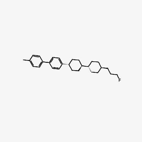 Cc1ccc(-c2ccc([C@H]3CC[C@H]([C@H]4CC[C@H](CCCF)CC4)CC3)cc2)cc1